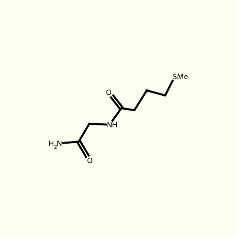 CSCCCC(=O)NCC(N)=O